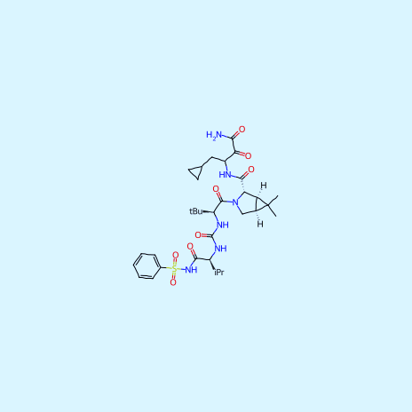 CC(C)[C@H](NC(=O)N[C@H](C(=O)N1C[C@H]2[C@@H]([C@H]1C(=O)NC(CC1CC1)C(=O)C(N)=O)C2(C)C)C(C)(C)C)C(=O)NS(=O)(=O)c1ccccc1